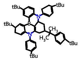 CC(C)(C)C1=CC=C(N2c3ccc(C(C)(C)C)cc3B3C4=CC(C(C)(C)C)CC=C4N(c4ccc(C(C)(C)C)cc4)C4=C3C2CC(C(C)(C)c2ccc(C(C)(C)C)cc2)C4)CC1